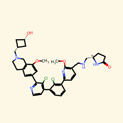 COc1cc(-c2nccc(-c3cccc(-c4ccc(CNC[C@@H]5CCC(=O)N5)c(OC)n4)c3Cl)c2Cl)cc2c1CN(C[C@H]1C[C@@H](O)C1)CC2